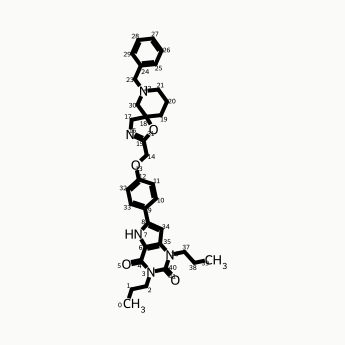 CCCn1c(=O)c2[nH]c(-c3ccc(OCC4=NCC5(CCCN(Cc6ccccc6)C5)O4)cc3)cc2n(CCC)c1=O